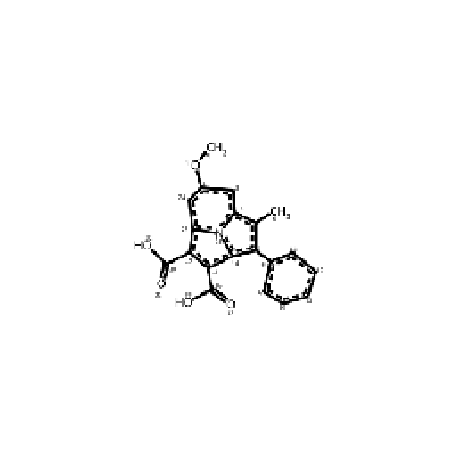 COc1cc2c(C)c(-c3ccccc3)c3c(C(=O)O)c(C(=O)O)c(c1)n23